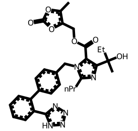 CCCc1nc(C(C)(O)CC)c(C(=O)OCc2oc(=O)oc2C)n1Cc1ccc(-c2ccccc2-c2nnn[nH]2)cc1